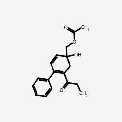 CCC(=O)C1=C(c2ccccc2)C=CC(O)(COC(C)=O)C1